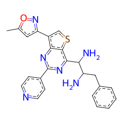 Cc1cc(-c2csc3c(C(N)C(N)Cc4ccccc4)nc(-c4ccncc4)nc23)no1